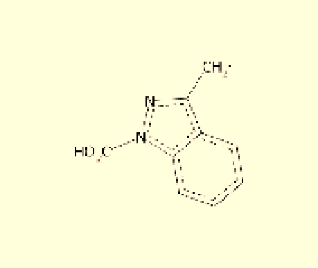 [CH2]c1nn(C(=O)O)c2ccccc12